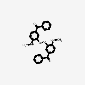 CNc1ccc(C(=O)c2ccccc2)cc1[Se][Se]c1cc(C(=O)c2ccccc2)ccc1NC